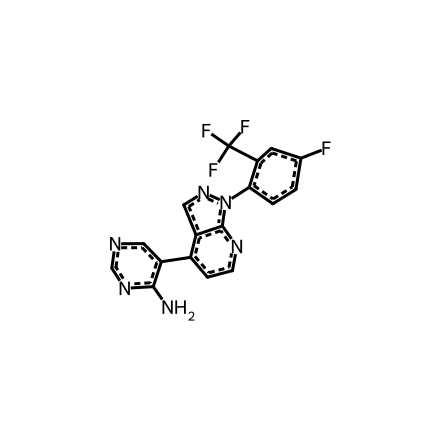 Nc1ncncc1-c1ccnc2c1cnn2-c1ccc(F)cc1C(F)(F)F